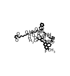 CC[C@H]1C(=O)OCc2c1cc1n(c2=O)Cc2c-1cc1cc(F)c(C)c3c1c2[C@@H](NC(=O)C1(COCNC(=O)CNC(=O)[C@H](Cc2ccccc2)NC(=O)CNC(=O)CNC(=O)CCCCCN2C(=O)C=CC2=O)CCC1)CC3